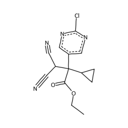 CCOC(=O)C(c1cnc(Cl)nc1)(C(C#N)C#N)C1CC1